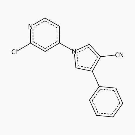 N#Cc1cn(-c2ccnc(Cl)c2)cc1-c1ccccc1